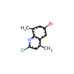 Cc1cc(Cl)nc2c(C)cc(Br)cc12